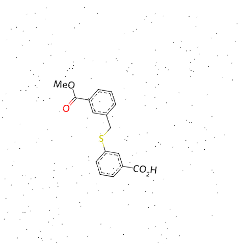 COC(=O)c1cccc(CSc2cccc(C(=O)O)c2)c1